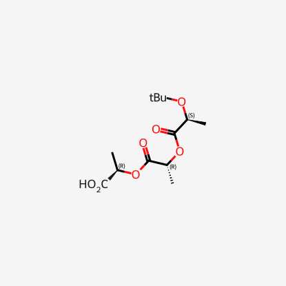 C[C@H](OC(C)(C)C)C(=O)O[C@H](C)C(=O)O[C@H](C)C(=O)O